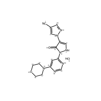 Cl.N#Cc1cn(-c2c[nH]n(-c3cc(N4CCOCC4)ncn3)c2=O)nn1